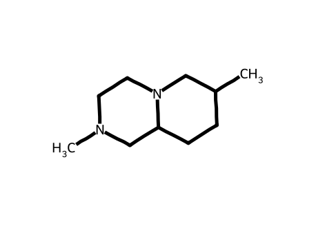 CC1CCC2CN(C)CCN2C1